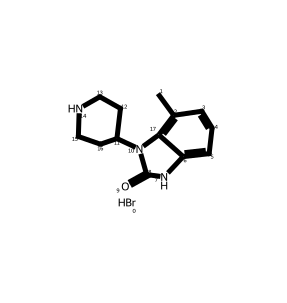 Br.Cc1cccc2[nH]c(=O)n(C3CCNCC3)c12